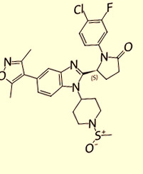 Cc1noc(C)c1-c1ccc2c(c1)nc([C@@H]1CCC(=O)N1c1ccc(Cl)c(F)c1)n2C1CCN([S+](C)[O-])CC1